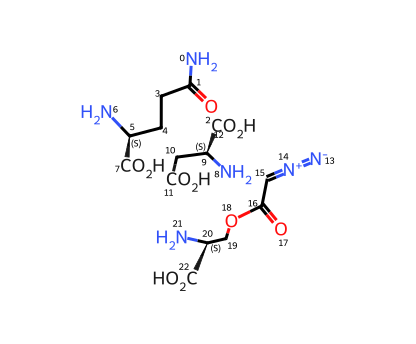 NC(=O)CC[C@H](N)C(=O)O.N[C@@H](CC(=O)O)C(=O)O.[N-]=[N+]=CC(=O)OC[C@H](N)C(=O)O